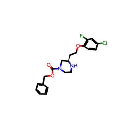 O=C(OCc1ccccc1)N1CCN[C@H](CCOc2ccc(Cl)cc2F)C1